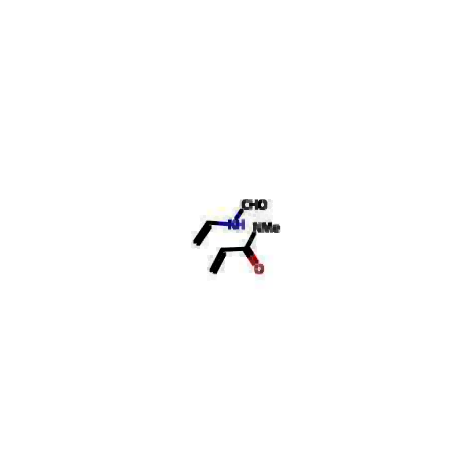 C=CC(=O)NC.C=CNC=O